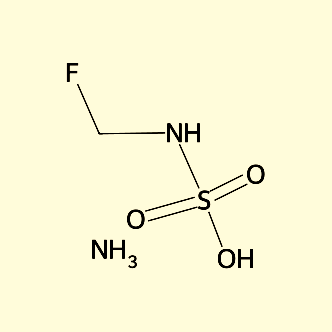 N.O=S(=O)(O)NCF